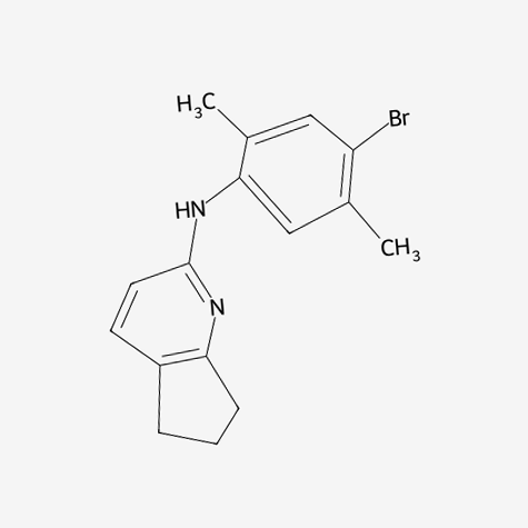 Cc1cc(Nc2ccc3c(n2)CCC3)c(C)cc1Br